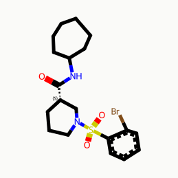 O=C(NC1CCCCCC1)[C@H]1CCCN(S(=O)(=O)c2ccccc2Br)C1